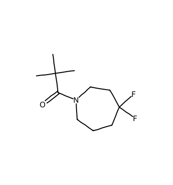 CC(C)(C)C(=O)N1CCCC(F)(F)CC1